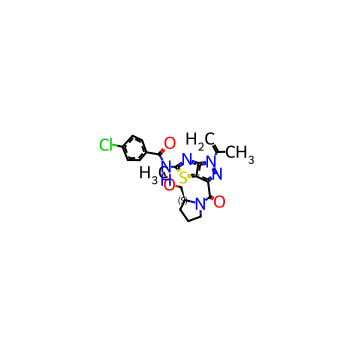 C=C(C)n1nc(C(=O)N2CCC[C@H]2COC)c2sc(NC(=O)c3ccc(Cl)cc3)nc21